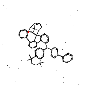 CC1(C)CCC(C)(C)c2cc(N(c3ccc(-c4ccccc4)cc3)c3cccc4c3-c3cccc(-c5ccccc5)c3C43C4CC5CC6CC3C64C5)ccc21